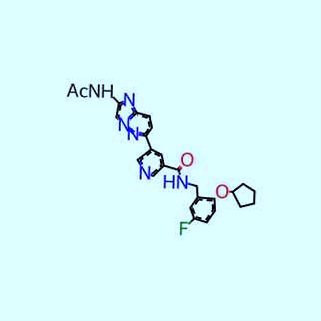 CC(=O)Nc1cn2nc(-c3cncc(C(=O)NCc4cc(F)ccc4OC4CCCC4)c3)ccc2n1